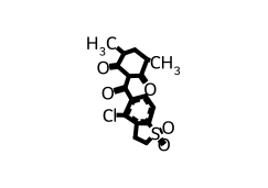 CC1CC(C)C(=O)C(C(=O)c2ccc3c(c2Cl)CCS3(=O)=O)C1=O